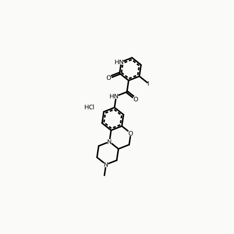 CN1CCN2c3ccc(NC(=O)c4c(I)cc[nH]c4=O)cc3OCC2C1.Cl